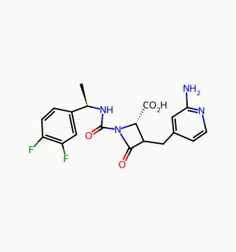 C[C@@H](NC(=O)N1C(=O)C(Cc2ccnc(N)c2)[C@H]1C(=O)O)c1ccc(F)c(F)c1